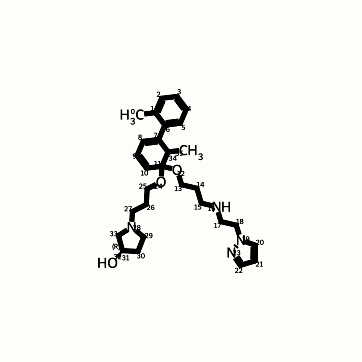 Cc1ccccc1C1=CC=CC(OCCCNCCn2cccn2)(OCCCN2CC[C@@H](O)C2)C1C